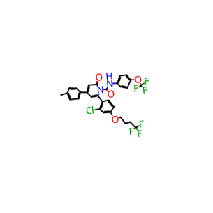 Cc1ccc(-c2cc(-c3ccc(OCCCC(F)(F)F)cc3Cl)n(C(=O)Nc3ccc(OC(F)(F)F)cc3)c(=O)c2)cc1